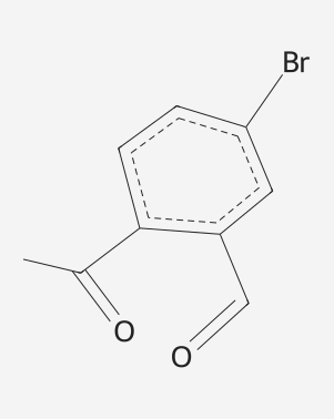 CC(=O)c1ccc(Br)cc1C=O